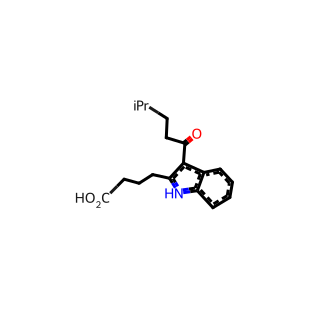 CC(C)CCC(=O)c1c(CCCC(=O)O)[nH]c2ccccc12